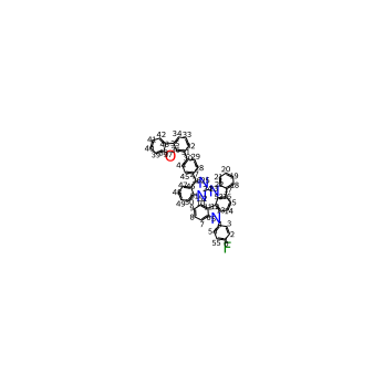 Fc1ccc(-n2c3ccccc3c3c2ccc2c4ccccc4n(-c4nc(-c5ccc(-c6cccc7c6oc6ccccc67)cc5)c5ccccc5n4)c23)cc1